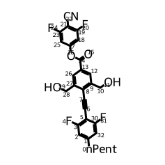 CCCCCc1cc(F)c(C#Cc2c(CO)cc(C(=O)Oc3cc(F)c(C#N)c(F)c3)cc2CO)c(F)c1